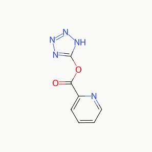 O=C(Oc1nnn[nH]1)c1ccccn1